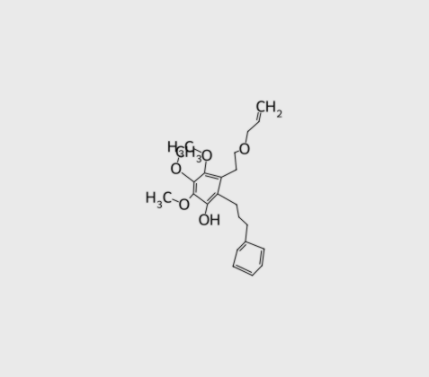 C=CCOCCc1c(CCCc2ccccc2)c(O)c(OC)c(OC)c1OC